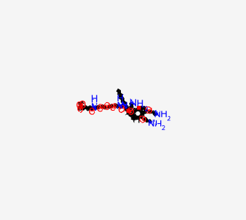 CCCCCCCCN(CCC[C@@H](C)[C@H]1CC[C@H]2C[C@H](OCCCN)CC3C[C@H](OCCCN)CC[C@]3(C)[C@H](C)C[C@H](OCCCN)[C@@]21C)C(=O)NCCOCCOCCOCCNC(=O)CCCC[Si](OC)(OC)OC